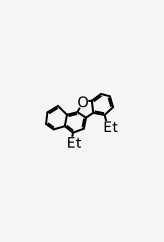 CCc1cc2c(oc3cccc(CC)c32)c2ccccc12